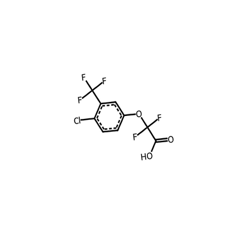 O=C(O)C(F)(F)Oc1ccc(Cl)c(C(F)(F)F)c1